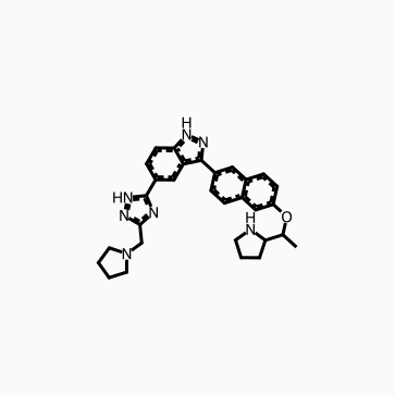 CC(Oc1ccc2cc(-c3n[nH]c4ccc(-c5nc(CN6CCCC6)n[nH]5)cc34)ccc2c1)C1CCCN1